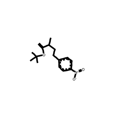 C=C(OC(C)(C)C)C(C)CCc1ccc([N+](=O)[O-])cc1